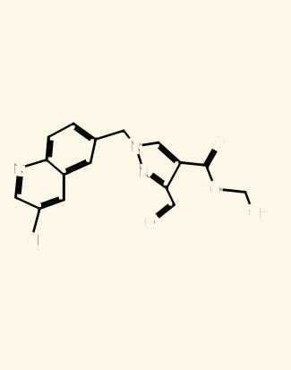 CCOC(=O)c1cn(Cc2ccc3ncc(Cl)cc3c2)nc1C=O